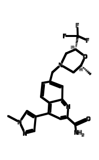 C[C@@H]1CN(Cc2ccc3c(-c4cnn(C)c4)cc(C(N)=O)nc3c2)C[C@H](C(F)(F)F)O1